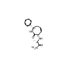 C[C@H](N[C@H]1C=CC[C@@H](c2ccccc2)NC1=O)C(N)=O